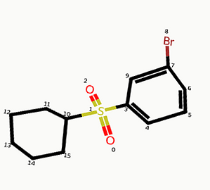 O=S(=O)(c1cccc(Br)c1)C1CCCCC1